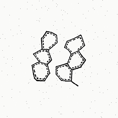 Cc1cccc2c1ccc1ccccc12.c1ccc2cc3ccccc3cc2c1